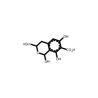 CCCCCCCCC1Cc2cc(O)c(C(=O)O)c(O)c2C(O)O1